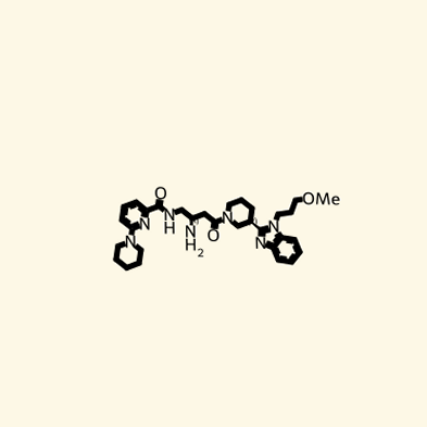 COCCCn1c([C@@H]2CCCN(C(=O)C[C@@H](N)CNC(=O)c3cccc(N4CCCCC4)n3)C2)nc2ccccc21